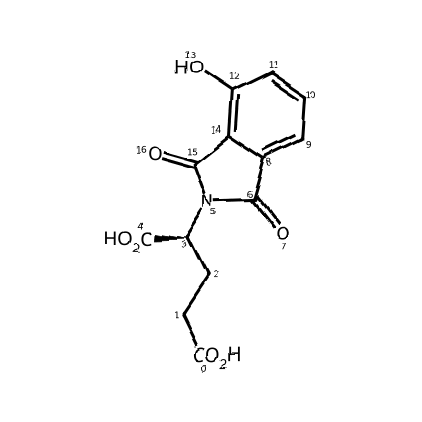 O=C(O)CC[C@@H](C(=O)O)N1C(=O)c2cccc(O)c2C1=O